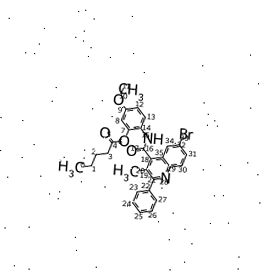 CCCCC(=O)Oc1cc(OC)ccc1NC(=O)c1c(C)c(-c2ccccc2)nc2ccc(Br)cc12